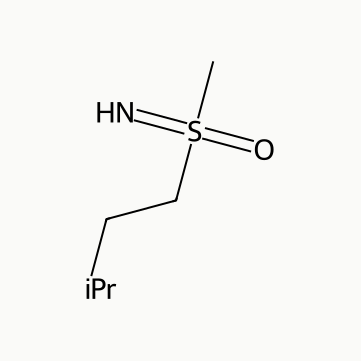 CC(C)CCS(C)(=N)=O